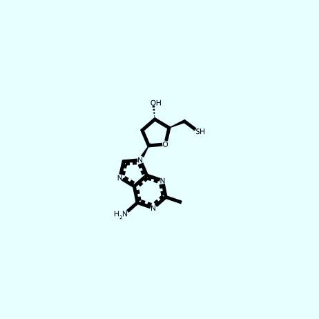 Cc1nc(N)c2ncn([C@H]3C[C@H](O)[C@@H](CS)O3)c2n1